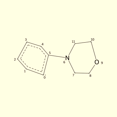 [c]1ccccc1N1CCOCC1